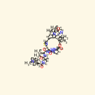 C=C/C(=C(\N=C/C)[C@H](C)OC)c1c2c3cc(ccc3n1CC)-c1csc(n1)C[C@H](NC(=O)[C@H](C(C)C)N1CC[C@]3(CCN(C(=O)C#CC(C)(C)N(C)C)C3)C1=O)C(=O)N1CCC[C@H](N1)C(=O)OCC(C)(C)C2